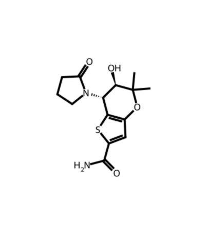 CC1(C)Oc2cc(C(N)=O)sc2[C@H](N2CCCC2=O)[C@H]1O